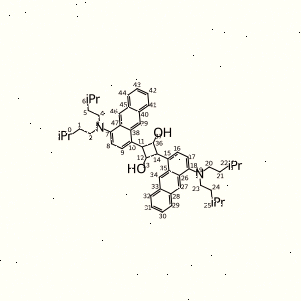 CC(C)CCN(CCC(C)C)c1ccc(C2C(O)C(c3ccc(N(CCC(C)C)CCC(C)C)c4cc5ccccc5cc34)C2O)c2cc3ccccc3cc12